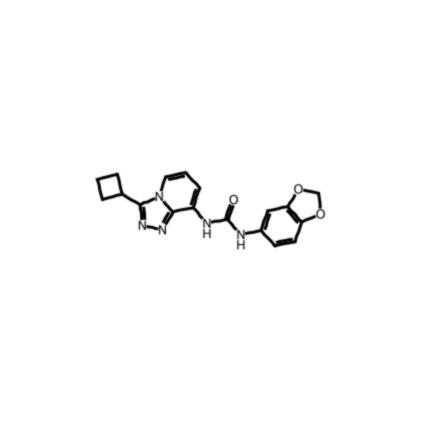 O=C(Nc1ccc2c(c1)OCO2)Nc1cccn2c(C3CCC3)nnc12